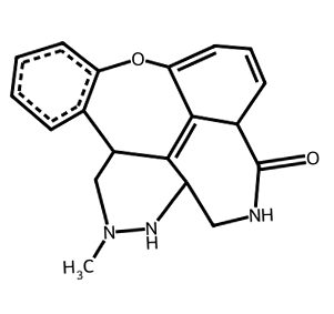 CN1CC2C3=C4C(=CC=CC4C(=O)NCC3N1)Oc1ccccc12